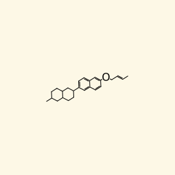 CC=CCOc1ccc2cc(C3CCC4CC(C)CCC4C3)ccc2c1